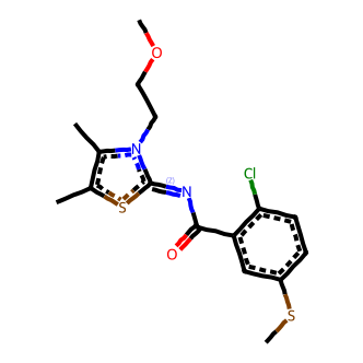 COCCn1c(C)c(C)s/c1=N\C(=O)c1cc(SC)ccc1Cl